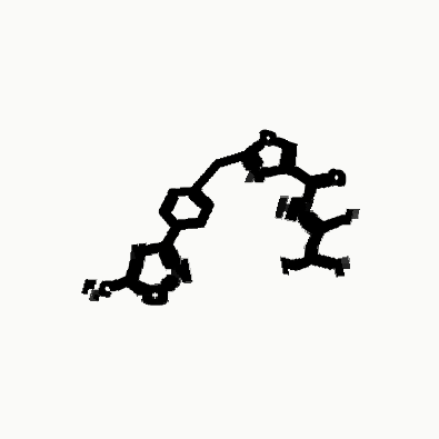 O=C(NC(F)C(F)F)c1coc(Cc2ccc(-c3noc(C(F)(F)F)n3)cc2)n1